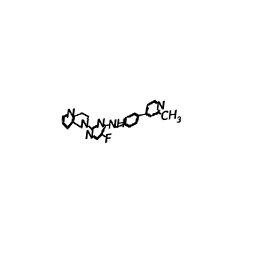 Cc1cc(-c2ccc(CNc3nc(N4CCc5ncccc5C4)ncc3F)cc2)ccn1